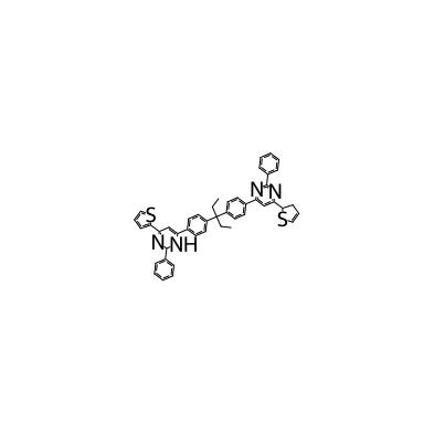 CCC(CC)(c1ccc(C2=CC(c3cccs3)=NC(c3ccccc3)N2)cc1)c1ccc(-c2cc(C3CC=CS3)nc(-c3ccccc3)n2)cc1